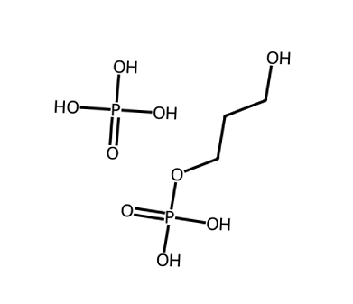 O=P(O)(O)O.O=P(O)(O)OCCCO